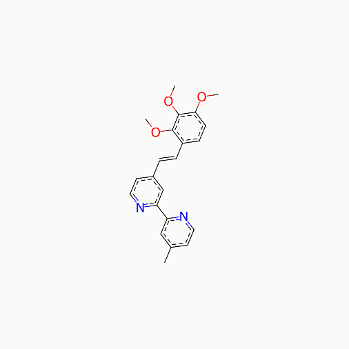 COc1ccc(C=Cc2ccnc(-c3cc(C)ccn3)c2)c(OC)c1OC